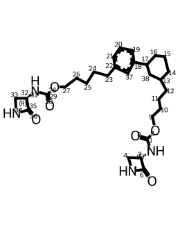 O=C(N[C@H]1CNC1=O)OCCCCC1CCCC(c2cccc(CCCCCOC(=O)N[C@@H]3CNC3=O)c2)C1